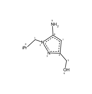 CC(C)Cn1nc(CO)cc1N